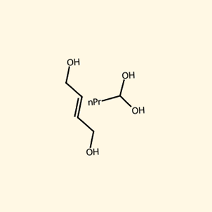 CCCC(O)O.OCC=CCO